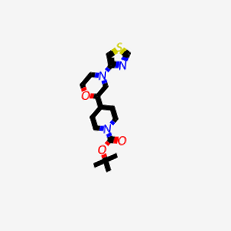 CC(C)(C)OC(=O)N1CCC(C2CN(c3cscn3)CCO2)CC1